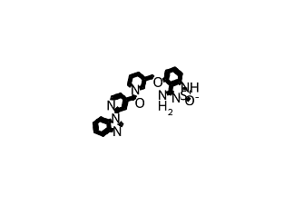 NC1=N[S+]([O-])Nc2cccc(OCC3CCCN(C(=O)c4ccnc(-n5cnc6ccccc65)c4)C3)c21